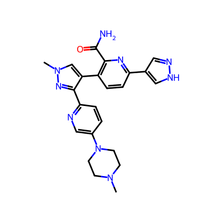 CN1CCN(c2ccc(-c3nn(C)cc3-c3ccc(-c4cn[nH]c4)nc3C(N)=O)nc2)CC1